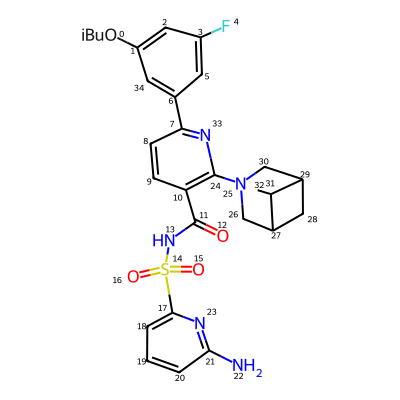 CC(C)COc1cc(F)cc(-c2ccc(C(=O)NS(=O)(=O)c3cccc(N)n3)c(N3CC4CC(C3)C4C)n2)c1